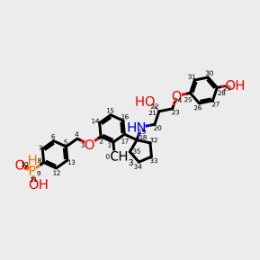 Cc1c(OCc2ccc([PH](=O)O)cc2)cccc1C1(NC[C@H](O)COc2ccc(O)cc2)CCCC1